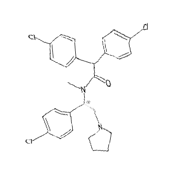 CN(C(=O)C(c1ccc(Cl)cc1)c1ccc(Cl)cc1)[C@H](CN1CCCC1)c1ccc(Cl)cc1